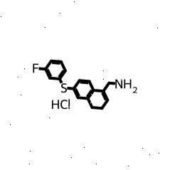 Cl.NCC1=CCCc2cc(Sc3cccc(F)c3)ccc21